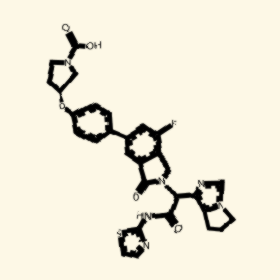 O=C(Nc1nccs1)C(c1ncn2c1CCC2)N1Cc2c(F)cc(-c3ccc(O[C@H]4CCN(C(=O)O)C4)cc3)cc2C1=O